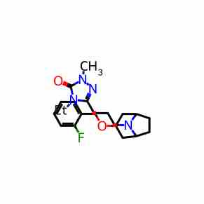 CCn1c(CCCN2C3CCC2CC(OCc2ccccc2F)C3)nn(C)c1=O